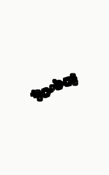 Cc1cc(C2CCN(S(C)(=O)=O)CC2)ccc1OCC1CCN(C(=O)OC(C)(C)C)CC1